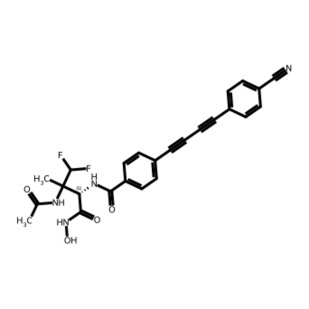 CC(=O)NC(C)(C(F)F)[C@H](NC(=O)c1ccc(C#CC#Cc2ccc(C#N)cc2)cc1)C(=O)NO